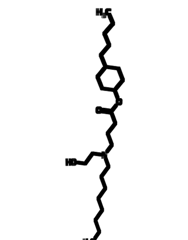 CCCCCCCCN(CCO)CCCC(=O)OC1CCC(CCCCC)CC1